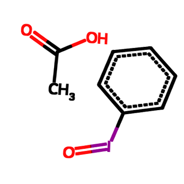 CC(=O)O.O=Ic1ccccc1